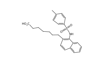 Cc1ccc(S(=O)(=O)Nc2c(CCCCCCC(=O)O)ccc3ccccc23)cc1